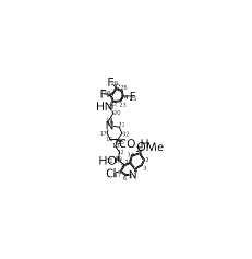 COc1ccc2ncc(Cl)c([C@H](O)CCC3(C(=O)O)CCN(CCNc4cc(F)cc(F)c4F)CC3)c2c1